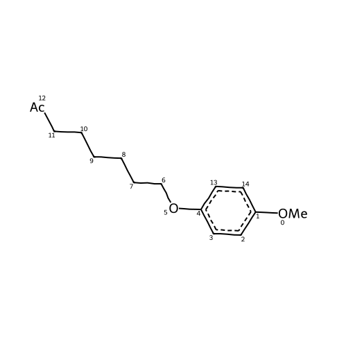 COc1ccc(OCCCCCCC(C)=O)cc1